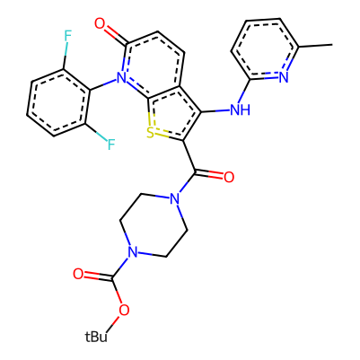 Cc1cccc(Nc2c(C(=O)N3CCN(C(=O)OC(C)(C)C)CC3)sc3c2ccc(=O)n3-c2c(F)cccc2F)n1